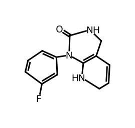 O=C1NCC2=C(NCC=C2)N1c1cccc(F)c1